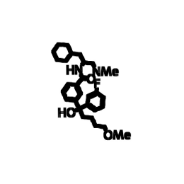 CNCC(CC1CCCCC1)NC(=O)c1cccc(C(O)(CCCCOC)c2cccc(F)c2)c1